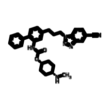 CN[C@H]1CC[C@H](OC(=O)Nc2cc(CCCn3nnc4cc(C#N)ccc43)ccc2-c2ccccc2)CC1